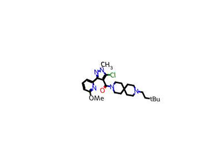 COc1cccc(-c2nn(C)c(Cl)c2C(=O)N2CCC3(CCN(CCC(C)(C)C)CC3)CC2)n1